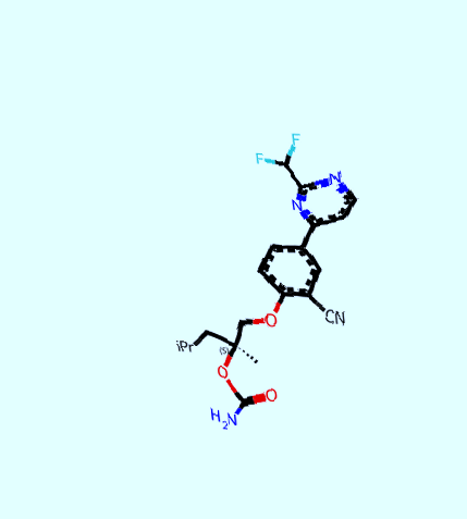 CC(C)C[C@@](C)(COc1ccc(-c2ccnc(C(F)F)n2)cc1C#N)OC(N)=O